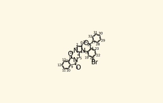 Cc1cnc(CN2C(=O)c3ccccc3C2=O)n1-c1cc(Br)ccc1C(=O)c1ccccc1